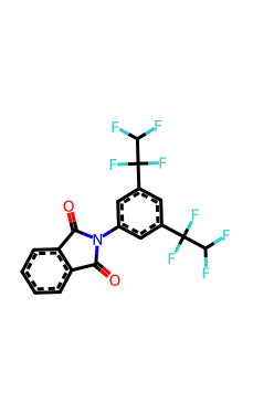 O=C1c2ccccc2C(=O)N1c1cc(C(F)(F)C(F)F)cc(C(F)(F)C(F)F)c1